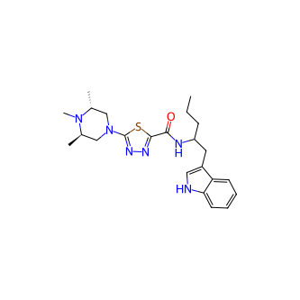 CCCC(Cc1c[nH]c2ccccc12)NC(=O)c1nnc(N2C[C@@H](C)N(C)[C@H](C)C2)s1